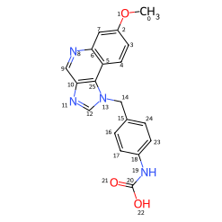 COc1ccc2c(c1)ncc1ncn(Cc3ccc(NC(=O)O)cc3)c12